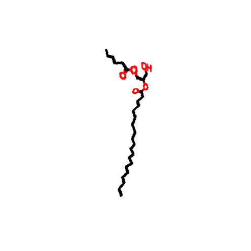 CCCCCCCCCCCCCCCCCCCC(=O)OC(CO)COC(=O)CCCCC